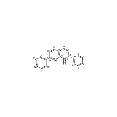 C1=C[C@H](c2ccccc2)Nc2nc(-c3ccccc3)ccc21